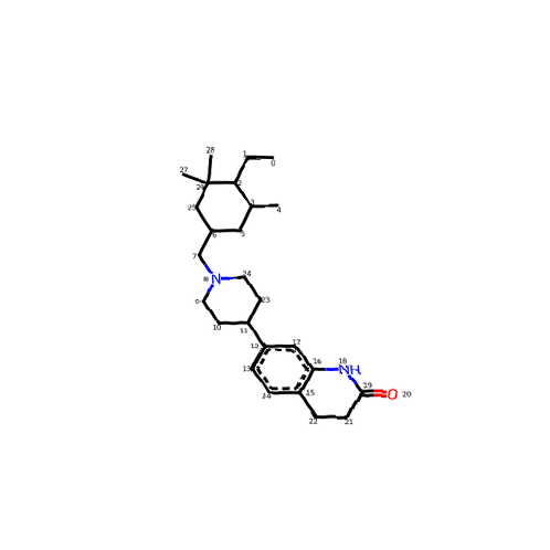 CCC1C(C)CC(CN2CCC(c3ccc4c(c3)NC(=O)CC4)CC2)CC1(C)C